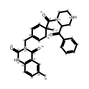 O=C(c1ccccc1)C1CNCCN1C(=O)C1(F)C=CC(Cn2c(=O)[nH]c3ccc(F)cc3c2=O)=CC1